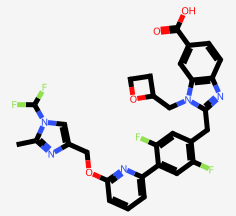 Cc1nc(COc2cccc(-c3cc(F)c(Cc4nc5ccc(C(=O)O)cc5n4CC4CCO4)cc3F)n2)cn1C(F)F